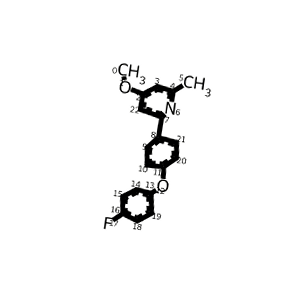 COc1cc(C)nc(-c2ccc(Oc3ccc(F)cc3)cc2)c1